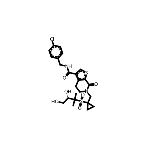 CC(C)([C@@H](O)CO)S(=O)(=O)C1(CN2CCc3c(C(=O)NCc4ccc(Cl)cc4)csc3C2=O)CC1